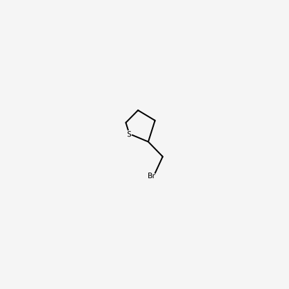 BrCC1CCCS1